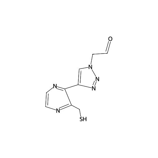 O=CCn1cc(-c2nccnc2CS)nn1